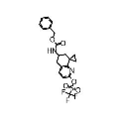 O=C(NC1Cc2ccc(OS(=O)(=O)C(F)(F)F)nc2C2(CC2)C1)OCc1ccccc1